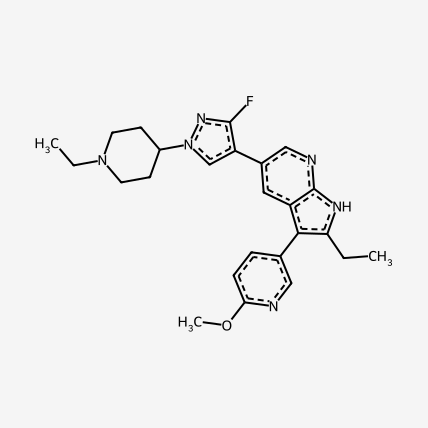 CCc1[nH]c2ncc(-c3cn(C4CCN(CC)CC4)nc3F)cc2c1-c1ccc(OC)nc1